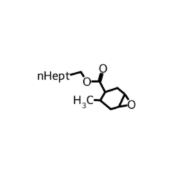 CCCCCCCCOC(=O)C1CC2OC2CC1C